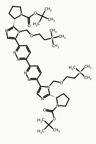 CC(C)(C)OC(=O)N1CCC[C@H]1c1ncc(-c2ccc(-c3ccc(-c4cnc([C@@H]5CCCN5C(=O)OC(C)(C)C)n4COCCS(C)(C)C)nn3)nn2)n1COCCS(C)(C)C